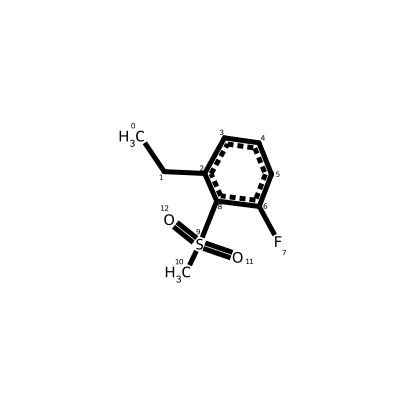 CCc1cccc(F)c1S(C)(=O)=O